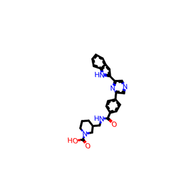 O=C(NCC1CCCN(C(=O)O)C1)c1ccc(-c2cncc(-c3cc4ccccc4[nH]3)n2)cc1